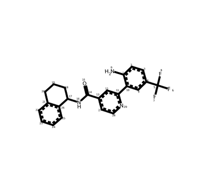 Nc1ccc(C(F)(F)F)cc1-c1cc(C(=O)NC2CCCc3ccccc32)ccn1